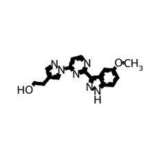 COc1ccc2[nH]nc(-c3nccc(-n4cc(CCO)cn4)n3)c2c1